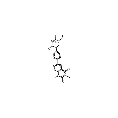 CCN(CC)CC(C(N)=O)c1ccc(-c2ncc3c(n2)c(=O)n(C)c(=O)n3C)cc1